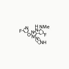 CNc1cc(F)cc2c1[nH]c1nc(Oc3cncc(F)c3)nc(N3CC4CNC(C4)C3)c12